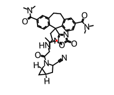 CC(C)n1oc(=O)nc1C1(C[C@@H](C)NCC(=O)N2C(C#N)C[C@@H]3C[C@@H]32)c2ccc(C(=O)N(C)C)cc2CCc2cc(C(=O)N(C)C)ccc21